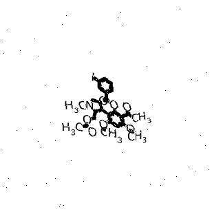 COc1cc(OC)c(C2CCN(C)C2COC(C)=O)c(OC(=O)c2cccc(I)c2)c1C(C)=O